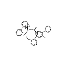 C=C1CC2[n+]3ccccc3-c3ccccc3C2(C)CCc2ccccc2-c2cc(C)c(-c3ccccc3)c[n+]21